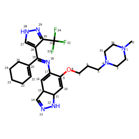 CN1CCN(CCCOC2=CC3NN=CC3C=C2/N=C(\C2=CCCCC2)c2c[nH]nc2C(F)(F)F)CC1